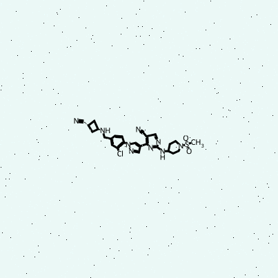 CS(=O)(=O)N1CCC(Nc2ncc(C#N)c(-c3cnn(-c4ccc(CN[C@H]5C[C@@H](C#N)C5)cc4Cl)c3)n2)CC1